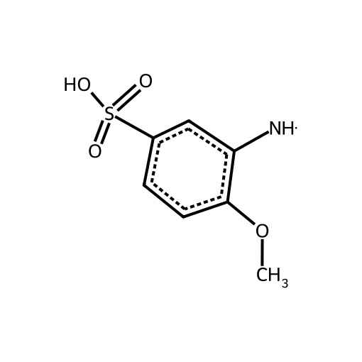 COc1ccc(S(=O)(=O)O)cc1[NH]